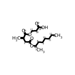 C=C(CC(=O)O[C@@H](C)CCCCCC)C(=O)OCCC(=O)O